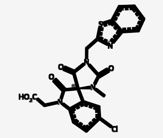 CN1C(=O)N(Cc2nc3ccccc3s2)C(=O)[C@]12C(=O)N(CC(=O)O)c1ccc(Cl)cc12